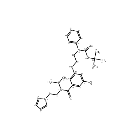 CC(C)N(CCn1cncn1)C(=O)c1cc(Cl)cc(OCCN(C(=O)OC(C)(C)C)c2ccncc2)c1